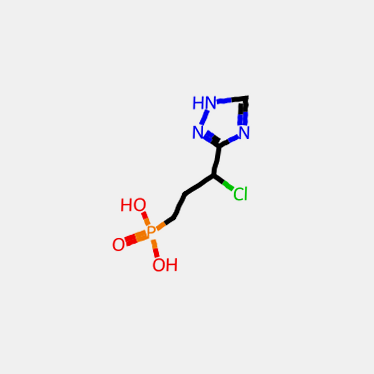 O=P(O)(O)CCC(Cl)c1nc[nH]n1